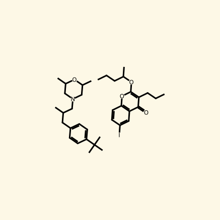 CC(Cc1ccc(C(C)(C)C)cc1)CN1CC(C)OC(C)C1.CCCc1c(OC(C)CCC)oc2ccc(I)cc2c1=O